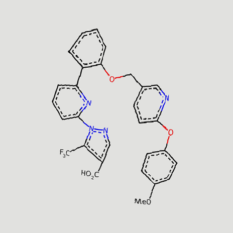 COc1ccc(Oc2ccc(COc3ccccc3-c3cccc(-n4ncc(C(=O)O)c4C(F)(F)F)n3)cn2)cc1